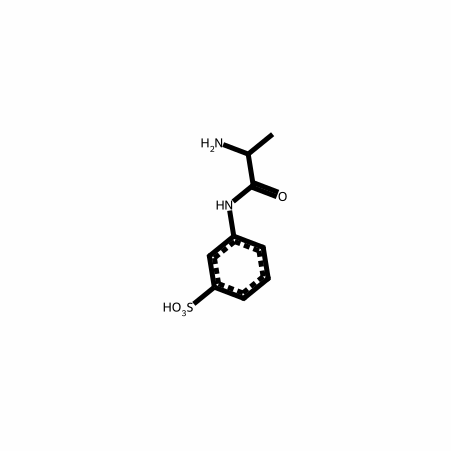 CC(N)C(=O)Nc1cccc(S(=O)(=O)O)c1